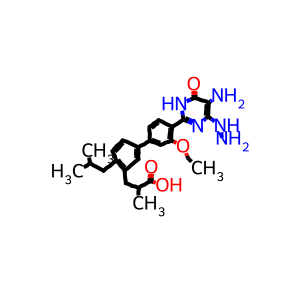 CCOc1cc(-c2ccc(CC(C)C)c(CC(C)C(=O)O)c2)ccc1-c1nc(NN)c(N)c(=O)[nH]1